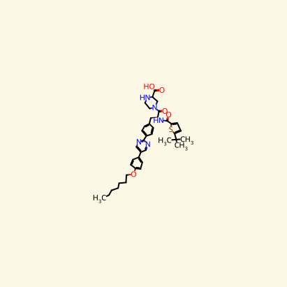 CCCCCCCOc1ccc(-c2cnc(-c3ccc(C[C@H](NC(=O)c4ccc(C(C)(C)C)s4)C(=O)N4CCNC(C(=O)O)C4)cc3)nc2)cc1